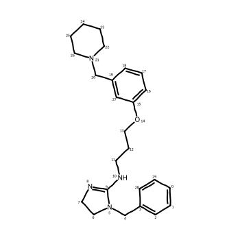 c1ccc(CN2CCN=C2NCCCOc2cccc(CN3CCCCC3)c2)cc1